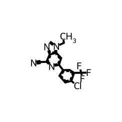 CCn1cnc2c(C#N)nc(-c3ccc(Cl)c(C(F)(F)F)c3)cc21